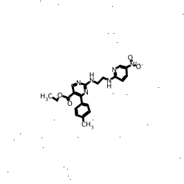 CCOC(=O)c1cnc(NCCNc2ccc([N+](=O)[O-])cn2)nc1-c1ccc(C)cc1